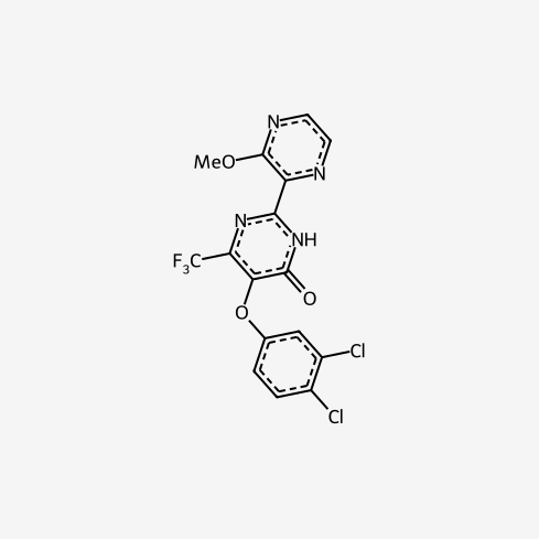 COc1nccnc1-c1nc(C(F)(F)F)c(Oc2ccc(Cl)c(Cl)c2)c(=O)[nH]1